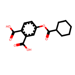 O=C(O)c1ccc(OC(=O)C2CCCCC2)cc1C(=O)O